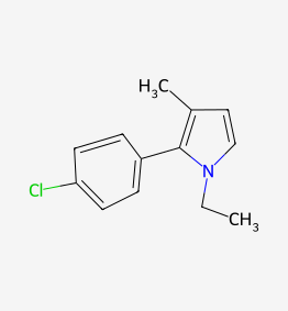 CCn1ccc(C)c1-c1ccc(Cl)cc1